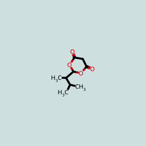 CC(C)C(C)C1OC(=O)CC(=O)O1